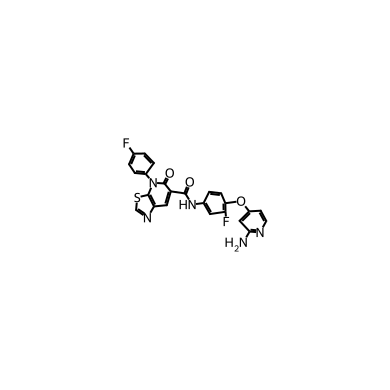 Nc1cc(Oc2ccc(NC(=O)c3cc4ncsc4n(-c4ccc(F)cc4)c3=O)cc2F)ccn1